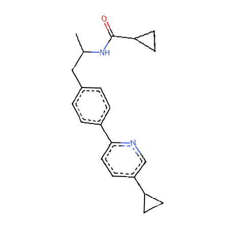 CC(Cc1ccc(-c2ccc(C3CC3)cn2)cc1)NC(=O)C1CC1